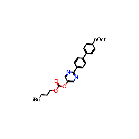 CCCCCCCCc1ccc(-c2ccc(-c3ncc(OC(=O)OCCC[C@@H](C)CC)cn3)cc2)cc1